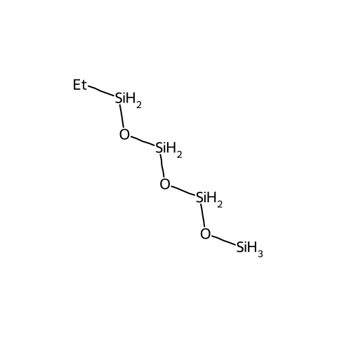 CC[SiH2]O[SiH2]O[SiH2]O[SiH3]